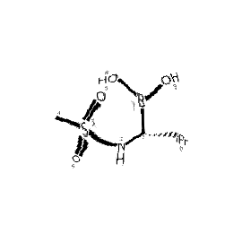 CC(C)[C@H](NS(C)(=O)=O)B(O)O